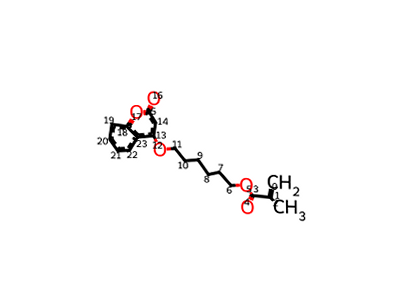 C=C(C)C(=O)OCCCCCCOc1cc(=O)oc2ccccc12